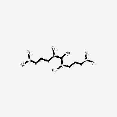 CN(C)CCCN(C)C(O)N(C)CCCN(C)C